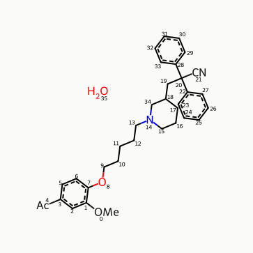 COc1cc(C(C)=O)ccc1OCCCCCN1CCCC(CC(C#N)(c2ccccc2)c2ccccc2)C1.O